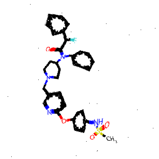 CS(=O)(=O)Nc1ccc(Oc2ccc(CN3CCC(N(C(=O)C(F)c4ccccc4)c4ccccc4)CC3)cn2)cc1